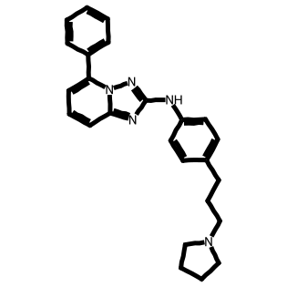 c1ccc(-c2cccc3nc(Nc4ccc(CCCN5CCCC5)cc4)nn23)cc1